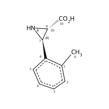 Cc1ccccc1[C@H]1N[C@@H]1C(=O)O